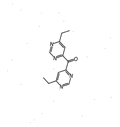 CCc1cc(C(=O)c2cc(CC)ncn2)ncn1